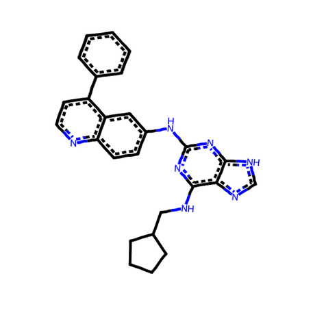 c1ccc(-c2ccnc3ccc(Nc4nc(NCC5CCCC5)c5nc[nH]c5n4)cc23)cc1